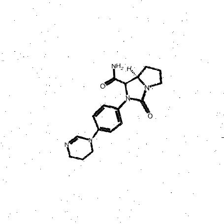 NC(=O)C1[C@H]2[CH]CCN2C(=O)N1c1ccc(N2C=NCCC2)cc1